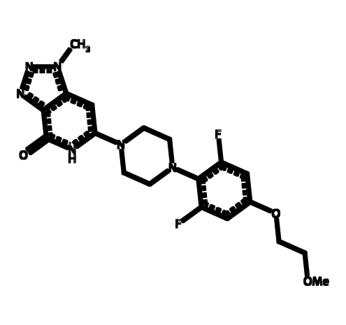 COCCOc1cc(F)c(N2CCN(c3cc4c(nnn4C)c(=O)[nH]3)CC2)c(F)c1